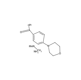 CCCC(=O)c1ccc(N2CCOCC2)cc1.CNC.N